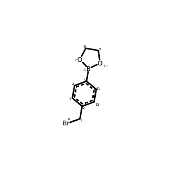 BrCc1ccc(B2OCCO2)cc1